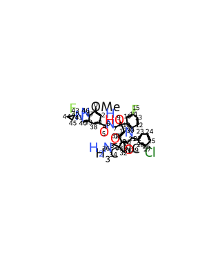 COc1cc(C(=O)NCC(O)(c2cccc(F)c2)c2cc3c(c(-c4cccc(Cl)c4C#N)n2)OC[C@]3(C)C(N)=O)cc2cn(C3(F)CC3)nc12